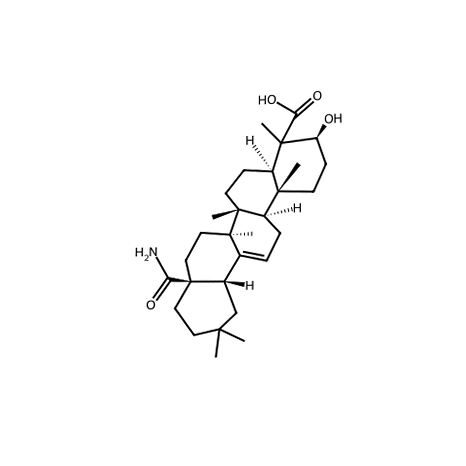 CC1(C)CC[C@]2(C(N)=O)CC[C@]3(C)C(=CC[C@@H]4[C@@]5(C)CC[C@H](O)C(C)(C(=O)O)[C@@H]5CC[C@]43C)[C@@H]2C1